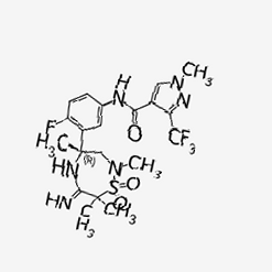 CN1C[C@@](C)(c2cc(NC(=O)c3cn(C)nc3C(F)(F)F)ccc2F)NC(=N)C(C)(C)S1(=O)=O